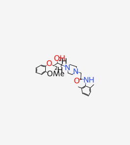 [2H]C([2H])(C(O)COc1ccccc1OC)N1CCN(CC(=O)Nc2c(C)cccc2C)CC1